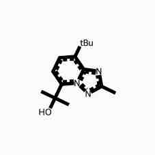 Cc1nc2c(C(C)(C)C)ccc(C(C)(C)O)n2n1